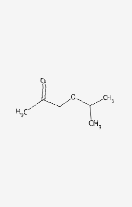 CC(=O)COC(C)C